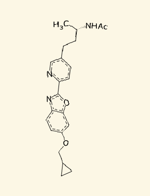 CC(=O)N[C@@H](C)CCc1ccc(-c2nc3ccc(OCC4CC4)cc3o2)nc1